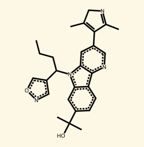 CCCC(c1cnoc1)n1c2cc(C(C)(C)O)ccc2c2ncc(C3=C(C)CN=C3C)cc21